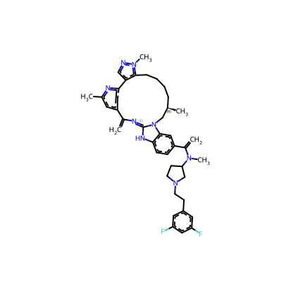 C=C1/N=C2\Nc3ccc(C(=C)N(C)C4CCN(CCc5cc(F)cc(F)c5)C4)cc3N2C[C@H](C)CCCCc2c(cnn2C)-c2cc1cc(C)n2